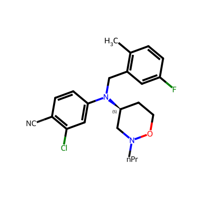 CCCN1C[C@@H](N(Cc2cc(F)ccc2C)c2ccc(C#N)c(Cl)c2)CCO1